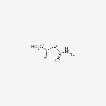 CC(OC(=O)NI)C(=O)O